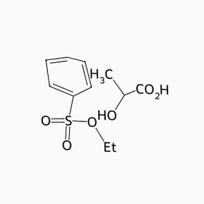 CC(O)C(=O)O.CCOS(=O)(=O)c1ccccc1